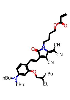 C=CC(=O)OCCCCN1C(=O)C(/C=C/c2ccc(N(CCCC)CCCC)cc2OCC(CC)CCCC)=C(C#N)C1=C(C#N)C#N